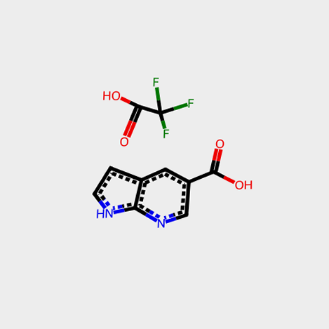 O=C(O)C(F)(F)F.O=C(O)c1cnc2[nH]ccc2c1